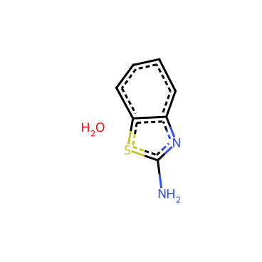 Nc1nc2ccccc2s1.O